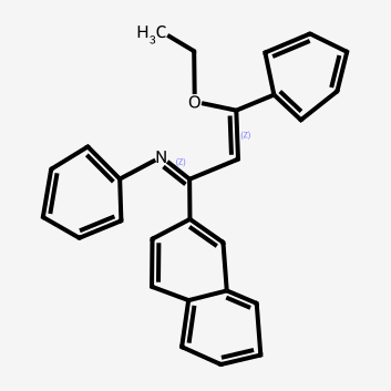 CCO/C(=C\C(=N\c1ccccc1)c1ccc2ccccc2c1)c1ccccc1